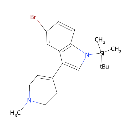 CN1CC=C(c2cn([Si](C)(C)C(C)(C)C)c3ccc(Br)cc23)CC1